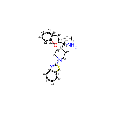 CC(N)(C1CCN(c2nc3ccccc3s2)CC1)C1Cc2ccccc2O1